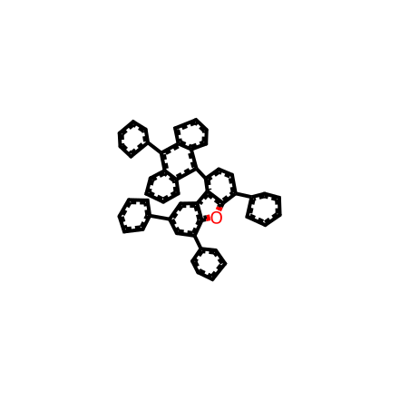 c1ccc(-c2cc(-c3ccccc3)c3oc4c(-c5ccccc5)ccc(-c5c6ccccc6c(-c6ccccc6)c6ccccc56)c4c3c2)cc1